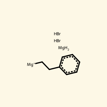 Br.Br.[Mg+][CH2]Cc1ccccc1.[MgH2]